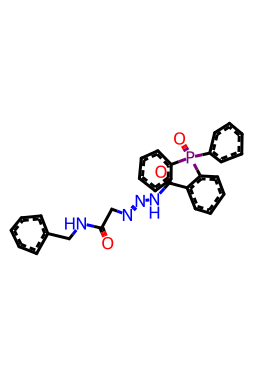 O=C(C/N=N/NC(=O)c1ccccc1P(=O)(c1ccccc1)c1ccccc1)NCc1ccccc1